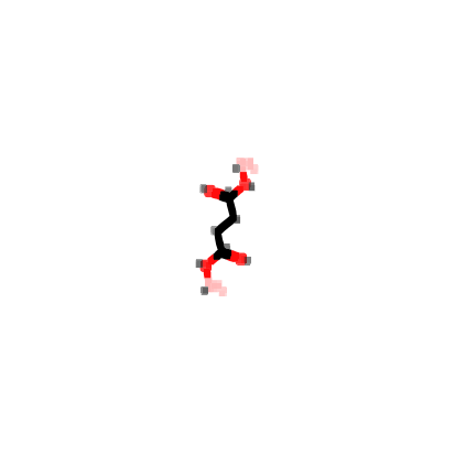 BOC(=O)CCC(=O)OB